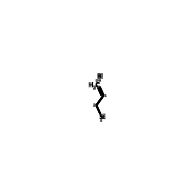 C=CC[Si].[B]